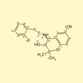 CC1(C)Oc2ccc(C#N)cc2[C@H](NCCc2ccccc2F)C1O